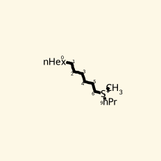 CCCCCCCCCCCC[S+](C)CCC